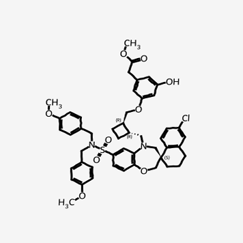 COC(=O)Cc1cc(O)cc(OC[C@@H]2CC[C@H]2CN2C[C@@]3(CCCc4cc(Cl)ccc43)COc3ccc(S(=O)(=O)N(Cc4ccc(OC)cc4)Cc4ccc(OC)cc4)cc32)c1